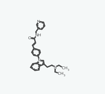 CCN(CC)CCc1cn(-c2ccc(C=CC(=O)NCc3cccnc3)cc2)c2ccccc12